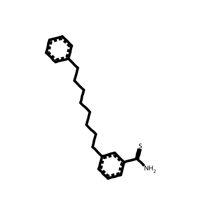 NC(=S)c1cccc(CCCCCCCCc2ccccc2)c1